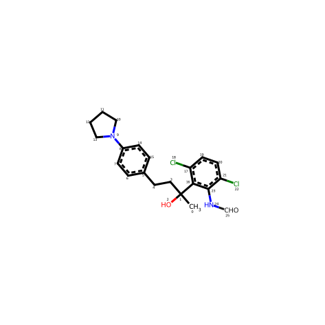 CC(O)(CCc1ccc(N2CCCC2)cc1)c1c(Cl)ccc(Cl)c1NC=O